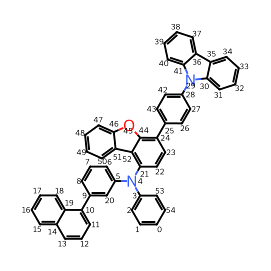 c1ccc(N(c2cccc(-c3cccc4ccccc34)c2)c2ccc(-c3ccc(-n4c5ccccc5c5ccccc54)cc3)c3oc4ccccc4c23)cc1